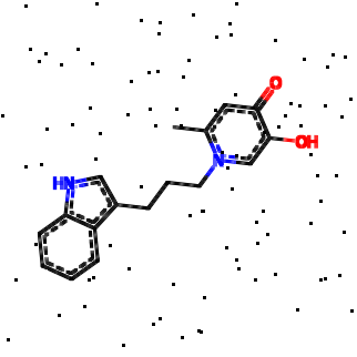 Cc1cc(=O)c(O)cn1CCCc1c[nH]c2ccccc12